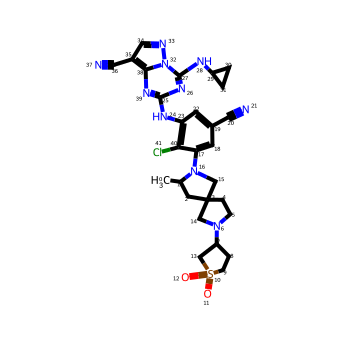 CC1CC2(CCN(C3CCS(=O)(=O)C3)C2)CN1c1cc(C#N)cc(Nc2nc(NC3CC3)n3ncc(C#N)c3n2)c1Cl